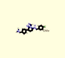 COc1cc(CNc2ccc(-c3ccc(CN(C)C)cc3)c3nncn23)ccc1F